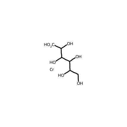 O=C(O)C(O)C(O)C(O)C(O)CO.[Cr]